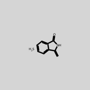 C=C1NC(=O)c2ccccc21.S